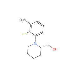 O=[N+]([O-])c1cccc(N2CCCC[C@H]2CO)c1F